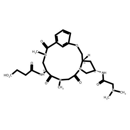 CN(C)CC(=O)N[C@H]1C[C@H]2COc3cccc(c3)C(=O)N(C)C[C@H](NC(=O)CCC(=O)O)C(=O)N(C)CC(=O)N2C1